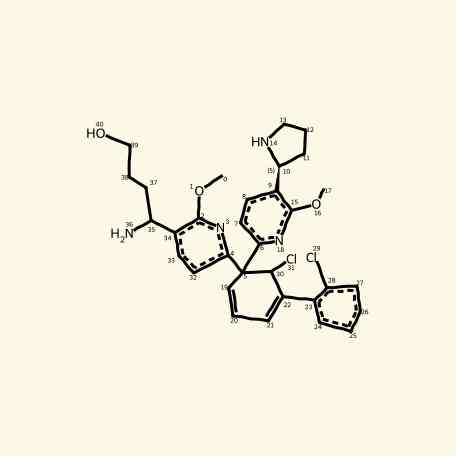 COc1nc(C2(c3ccc([C@@H]4CCCN4)c(OC)n3)C=CC=C(c3ccccc3Cl)C2Cl)ccc1C(N)CCCO